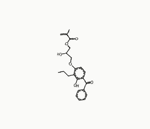 C=C(C)C(=O)OCC(O)COc1ccc(C(=O)c2ccccc2)c(O)c1CCC